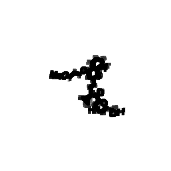 COCCCOc1cc(CCN(C(=O)C2CNC[C@@H](CO)O2)C2CC2)nc2c(F)cccc12